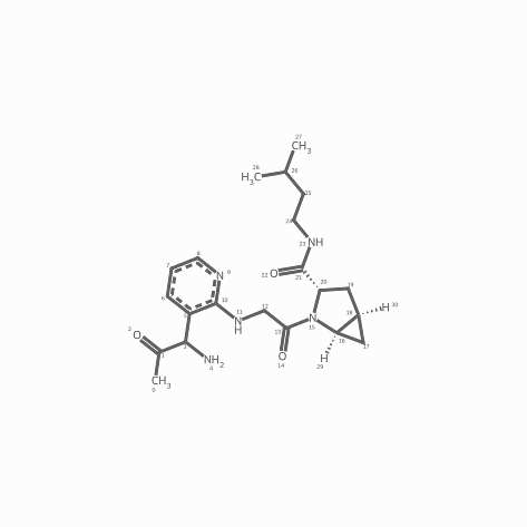 CC(=O)C(N)c1cccnc1NCC(=O)N1[C@@H]2C[C@@H]2C[C@H]1C(=O)NCCC(C)C